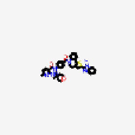 Cc1ccc(C(=O)Nc2ccc(C(=O)N3CCc4cc(-c5nc6ccccc6[nH]5)sc4-c4ccccc43)cc2)c(N2CC3(CCOCC3)C2)n1